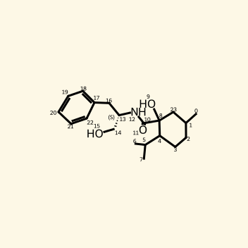 CC1CCC(C(C)C)C(O)(C(=O)N[C@H](CO)Cc2ccccc2)C1